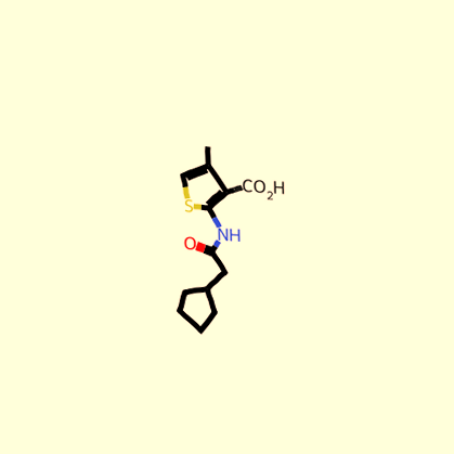 Cc1csc(NC(=O)CC2CCCC2)c1C(=O)O